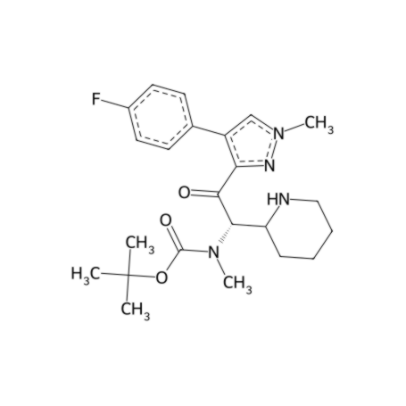 CN(C(=O)OC(C)(C)C)[C@H](C(=O)c1nn(C)cc1-c1ccc(F)cc1)C1CCCCN1